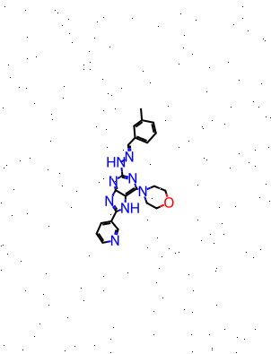 Cc1cccc(/C=N/Nc2nc(N3CCOCC3)c3[nH]c(-c4cccnc4)nc3n2)c1